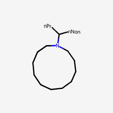 CCCCCCCCCC(CCC)N1CCCCCCCCCCC1